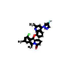 Cc1cc(Cl)c(COc2cccc3c(-n4cc(F)cn4)cc(C)nc23)c([C@H](C)N2CCCCC2=O)c1